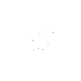 Nc1ccc(O)c(O)c1S(=O)(=O)O